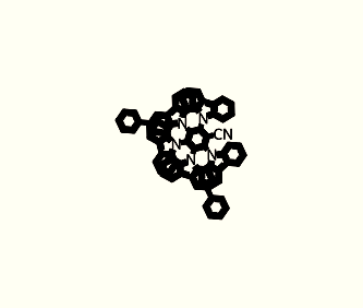 N#Cc1c(-n2c3ccccc3c3ccccc32)c(-n2c3ccccc3c3cc(-c4ccccc4)ccc32)c(-n2c3ccccc3c3ccccc32)c(-n2c3ccccc3c3cc(-c4ccccc4)ccc32)c1-n1c2ccccc2c2ccccc21